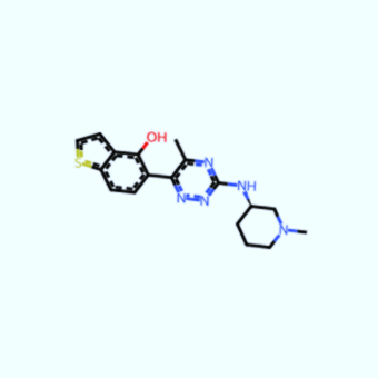 Cc1nc(N[C@@H]2CCCN(C)C2)nnc1-c1ccc2sccc2c1O